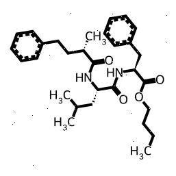 CCCCOC(=O)[C@H](Cc1ccccc1)NC(=O)[C@H](CC(C)C)NC(=O)[C@@H](C)CCc1ccccc1